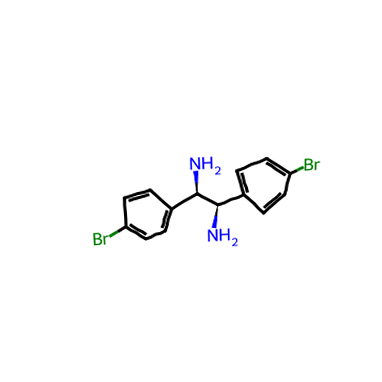 N[C@H](c1ccc(Br)cc1)[C@H](N)c1ccc(Br)cc1